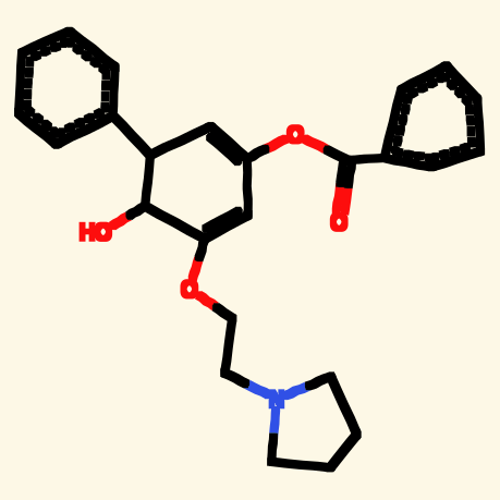 O=C(OC1=CC(c2ccccc2)C(O)C(OCCN2CCCC2)=C1)c1ccccc1